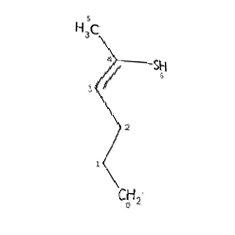 [CH2]CCC=C(C)S